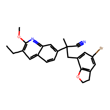 CCc1cc2ccc(C(C)(C#N)Cc3cc(Br)cc4c3OCC4)cc2nc1OC